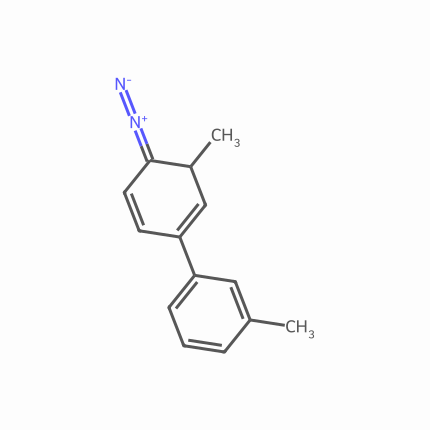 Cc1cccc(C2=CC(C)C(=[N+]=[N-])C=C2)c1